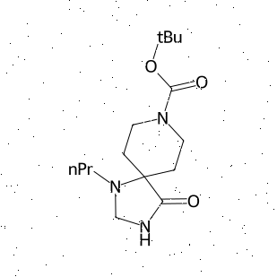 CCCN1CNC(=O)C12CCN(C(=O)OC(C)(C)C)CC2